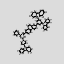 c1ccc(-c2nc(-c3ccc(-n4c5ccccc5c5ccccc54)cc3)nc(-c3ccc4c(ccc5cc(-c6cc(-n7c8ccccc8c8ccccc87)cc(-n7c8ccccc8c8ccccc87)c6)ccc54)c3)n2)cc1